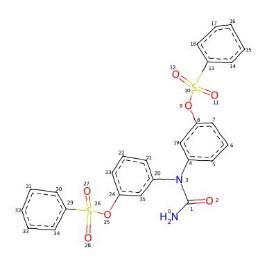 NC(=O)N(c1cccc(OS(=O)(=O)c2ccccc2)c1)c1cccc(OS(=O)(=O)c2ccccc2)c1